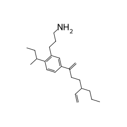 C=CC(CCC)CCC(=C)c1ccc(C(C)CC)c(CCCN)c1